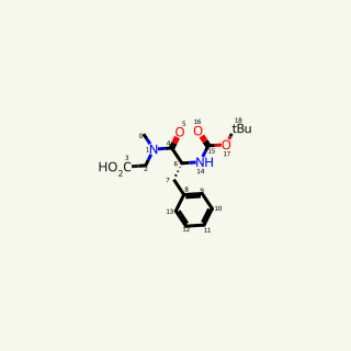 CN(CC(=O)O)C(=O)[C@@H](Cc1ccccc1)NC(=O)OC(C)(C)C